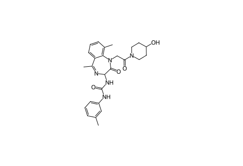 CC1=NC(NC(=O)Nc2cccc(C)c2)C(=O)N(CC(=O)N2CCC(O)CC2)c2c(C)cccc21